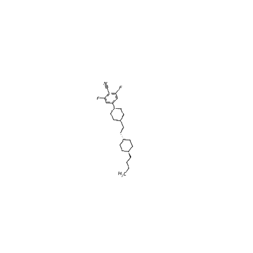 CCCC[C@H]1CC[C@H](CCC2CCC(c3cc(F)c(C#N)c(F)c3)CC2)CC1